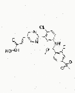 COC(Nc1ccc(Cl)c(-c2ncc(/C=C/C(=O)NO)cn2)c1)c1ccc(S(C)(=O)=O)cc1Cl